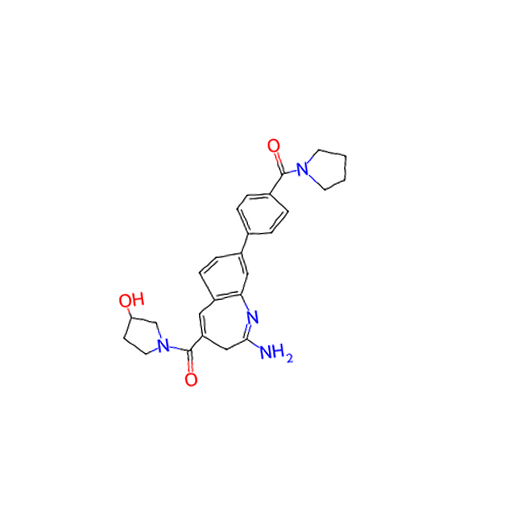 NC1=Nc2cc(-c3ccc(C(=O)N4CCCC4)cc3)ccc2C=C(C(=O)N2CCC(O)C2)C1